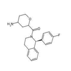 NC1CCOC(C(=O)N2CCc3ccccc3[C@@H]2c2ccc(F)cc2)C1